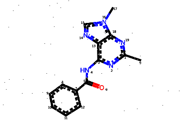 Cc1nc(NC(=O)c2ccccc2)c2ncn(C)c2n1